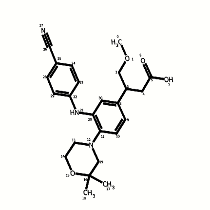 COCC(CC(=O)O)c1ccc(N2CCOC(C)(C)C2)c(Nc2ccc(C#N)cc2)c1